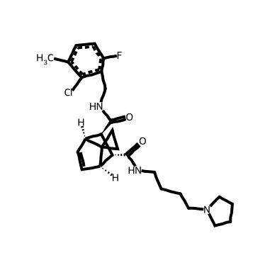 Cc1ccc(F)c(CNC(=O)[C@H]2[C@H](C(=O)NCCCCN3CCCC3)[C@H]3C=C[C@@H]2C32CC2)c1Cl